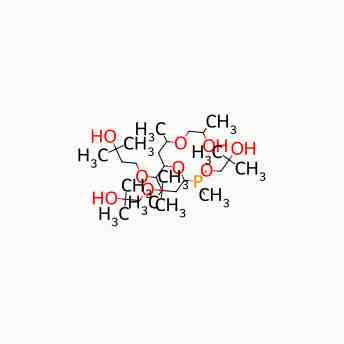 CCC(OCCC(C)(C)O)C(CC(C)OCC(C)O)OC(CC(C)(C)OCC(C)(C)O)P(C)OCC(C)(C)O